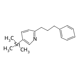 [CH3][Sn]([CH3])([CH3])[c]1ccc(CCCc2ccccc2)nc1